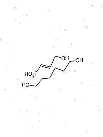 O=C(O)C=CCO.OCCCCCCO